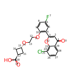 O=c1cc(-c2cc(F)ccc2OCCO[C@H]2C[C@H](C(=O)O)C2)oc2c(Cl)cccc12